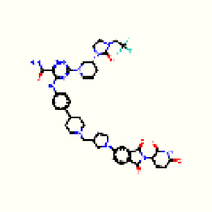 NC(=O)c1nnc(N2CCC[C@@H](N3CCN(CC(F)(F)F)C3=O)C2)nc1Nc1ccc(C2CCN(CC3CCN(c4ccc5c(c4)C(=O)N(C4CCC(=O)NC4=O)C5=O)C3)CC2)cc1